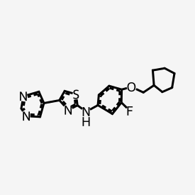 Fc1cc(Nc2nc(-c3cncnc3)cs2)ccc1OCC1CCCCC1